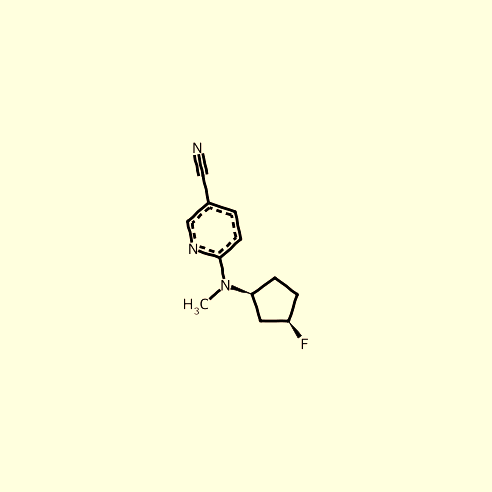 CN(c1ccc(C#N)cn1)[C@H]1CC[C@@H](F)C1